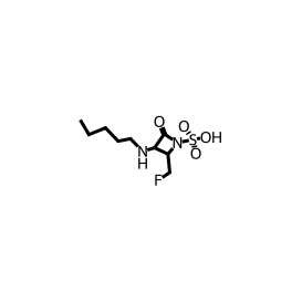 CCCCCNC1C(=O)N(S(=O)(=O)O)C1CF